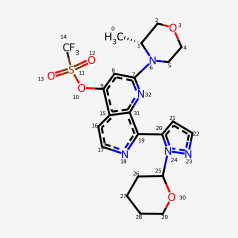 C[C@@H]1COCCN1c1cc(OS(=O)(=O)C(F)(F)F)c2ccnc(-c3ccnn3C3CCCCO3)c2n1